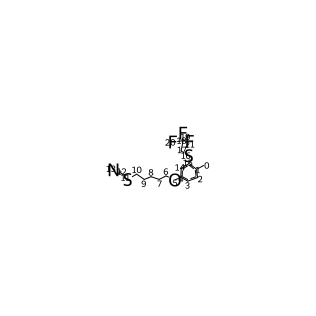 Cc1ccc(OCCCCCSC#N)cc1SCC(F)(F)F